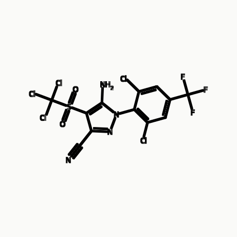 N#Cc1nn(-c2c(Cl)cc(C(F)(F)F)cc2Cl)c(N)c1S(=O)(=O)C(Cl)(Cl)Cl